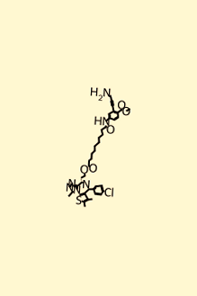 COC(=O)c1ccc(NC(=O)CCCCCCCCCC(=O)OCC[C@@H]2N=C(c3ccc(Cl)cc3)c3c(sc(C)c3C)-n3c(C)nnc32)cc1C#CCN